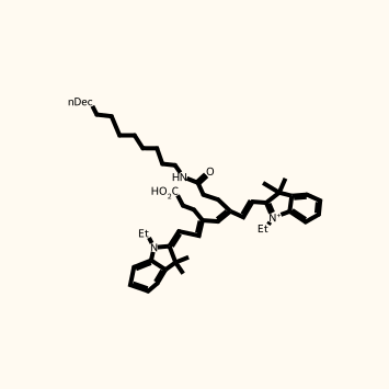 CCCCCCCCCCCCCCCCCCNC(=O)CCC(/C=C/C1=[N+](CC)c2ccccc2C1(C)C)=C\C(=C\C=C1\N(CC)c2ccccc2C1(C)C)CCC(=O)O